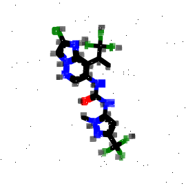 CC(c1c(NC(=O)Nc2cc(C(F)(F)F)nn2C)cnn2cc(Cl)nc12)C(F)(F)F